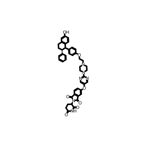 O=C1CCC(N2C(=O)c3ccc(Oc4cnc(N5CCN(CCOc6ccc(C7c8ccc(O)cc8CC[C@@H]7c7ccccc7)cc6)CC5)nc4)cc3C2=O)C(=O)N1